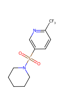 O=S(=O)(c1ccc(C(F)(F)F)nc1)N1CCCCC1